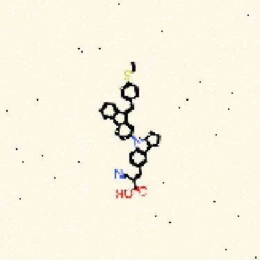 CCSc1ccc(/C=C2\c3ccccc3-c3ccc(N4c5ccc(/C=C(\C#N)C(=O)O)cc5C5CCCC54)cc32)cc1